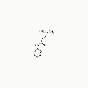 CC(O)CCC(=O)Nc1ccccc1